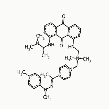 C/C(=N\N(C)c1ccc(C)cc1)c1cc[n+](C[N+](C)(C)CNc2cccc3c2C(=O)c2c(NC(C)N(C)C)cccc2C3=O)cc1